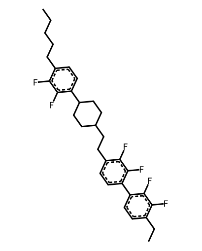 CCCCCc1ccc(C2CCC(CCc3ccc(-c4ccc(CC)c(F)c4F)c(F)c3F)CC2)c(F)c1F